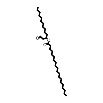 CCCCCCCCCCCCCCCCCCCC(=O)OC(C[C]=O)CCCCCCCCCCC